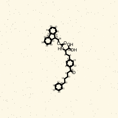 O=C(NC(CCc1ccc(C(=O)CCCCc2ccccc2)cc1)C(O)O)OCC1c2ccccc2-c2ccccc21